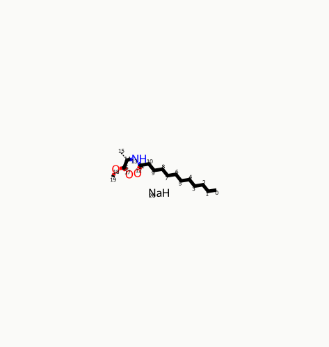 CCCCCCCCCCCC(=O)N[C@@H](C)C(=O)OC.[NaH]